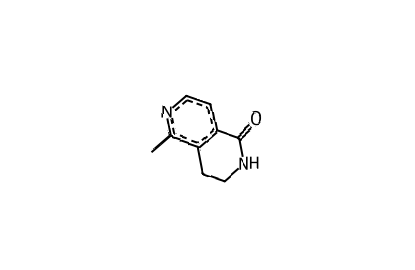 Cc1nccc2c1CCNC2=O